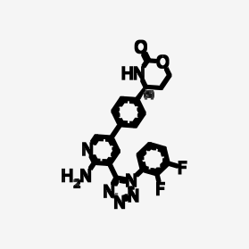 Nc1ncc(-c2ccc([C@@H]3CCOC(=O)N3)cc2)cc1-c1nnnn1-c1cccc(F)c1F